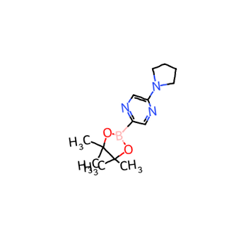 CC1(C)OB(c2cnc(N3CCCC3)cn2)OC1(C)C